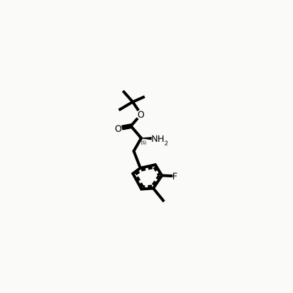 Cc1ccc(C[C@H](N)C(=O)OC(C)(C)C)cc1F